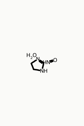 C1=NCCN1.N=O.O